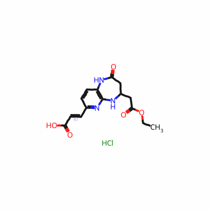 CCOC(=O)CC1CC(=O)Nc2ccc(/C=C/C(=O)O)nc2N1.Cl